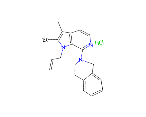 C=CCn1c(CC)c(C)c2ccnc(N3CCc4ccccc4C3)c21.Cl